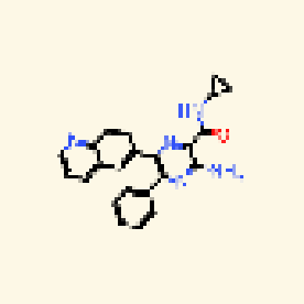 Nc1nc(-c2ccccc2)c(-c2ccc3ncccc3c2)nc1C(=O)NC1CC1